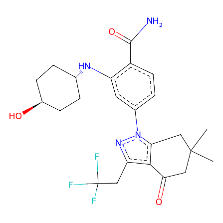 CC1(C)CC(=O)c2c(CC(F)(F)F)nn(-c3ccc(C(N)=O)c(N[C@H]4CC[C@H](O)CC4)c3)c2C1